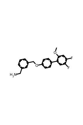 COc1cc(F)c(F)cc1-c1ccc(OCc2cccc(CN)c2)cc1